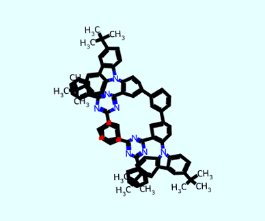 CC(C)(C)c1ccc2c(c1)c1cc(C(C)(C)C)ccc1n2-c1ccc(-c2cccc(-c3ccc(-n4c5ccc(C(C)(C)C)cc5c5cc(C(C)(C)C)ccc54)c(-c4nc(-c5ccccc5)nc(-c5ccccc5)n4)c3)c2)cc1-c1nc(-c2ccccc2)nc(-c2ccccc2)n1